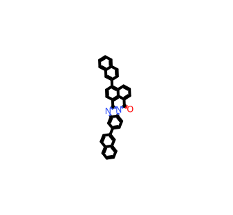 O=c1c2cccc3c(-c4ccc5ccccc5c4)ccc(c32)c2nc3cc(-c4ccc5ccccc5c4)ccc3n12